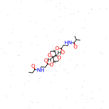 CCC(=O)NCCC(=O)O[C@@H]1CO[C@H]2[C@@H]1OC[C@@H]2OC(=O)CCNC(=O)C(C)C